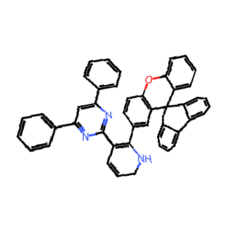 C1=CC(c2nc(-c3ccccc3)cc(-c3ccccc3)n2)=C(c2ccc3c(c2)C2(c4ccccc4O3)c3ccccc3-c3ccccc32)NC1